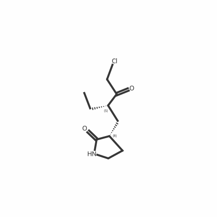 CC[C@@H](C[C@@H]1CCNC1=O)C(=O)CCl